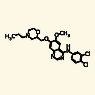 CCCN1CCOC(COc2cc3ncnc(Nc4ccc(Cl)c(Cl)c4)c3cc2OC)C1